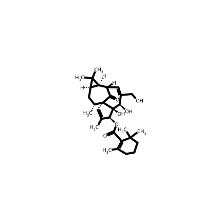 CC1=C[C@]23C(=O)[C@@H](C=C(CO)[C@@H](O)[C@]2(O)[C@H]1OC(=O)C1=C(C)CCCC1(C)C)[C@H]1[C@@H](C[C@H]3C)C1(C)C